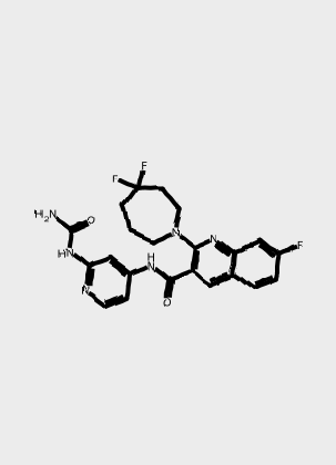 NC(=O)Nc1cc(NC(=O)c2cc3ccc(F)cc3nc2N2CCCC(F)(F)CC2)ccn1